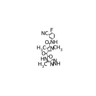 Cc1c(C(=O)C(=O)N[C@H](C)c2cn[nH]n2)cn(C)c1C(=O)Nc1ccc(F)c(C#N)c1